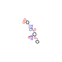 O=CNc1cc(C(=O)C2CCC(CCc3ccc4c(c3)OCO4)N2)ccc1OCc1ccccc1